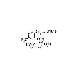 CNCCC(Oc1ccc(C(F)(F)F)cc1)c1ccco1.O=C(O)/C=C\C(=O)O